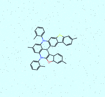 CC1=CC2OC3=C(B4c5cc6c(cc5N(c5ccccc5C)c5cc(C)cc(c54)N3c3ccccc3C)sc3cc(C)ccc36)C2C=C1